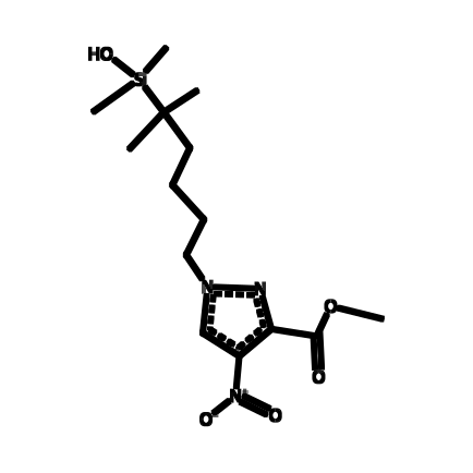 COC(=O)c1nn(CCCCC(C)(C)[Si](C)(C)O)cc1[N+](=O)[O-]